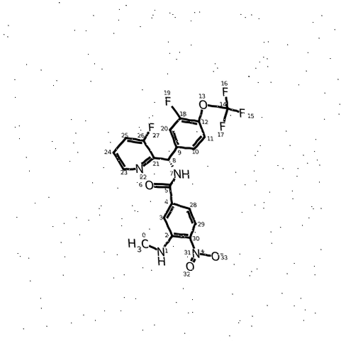 CNc1cc(C(=O)N[C@@H](c2ccc(OC(F)(F)F)c(F)c2)c2ncccc2F)ccc1[N+](=O)[O-]